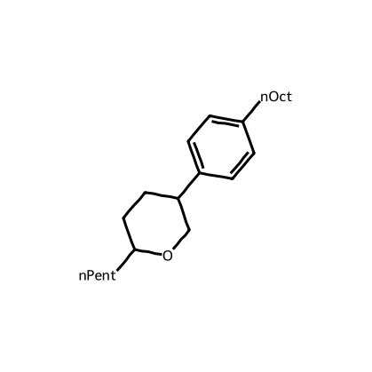 CCCCCCCCc1ccc(C2CCC(CCCCC)OC2)cc1